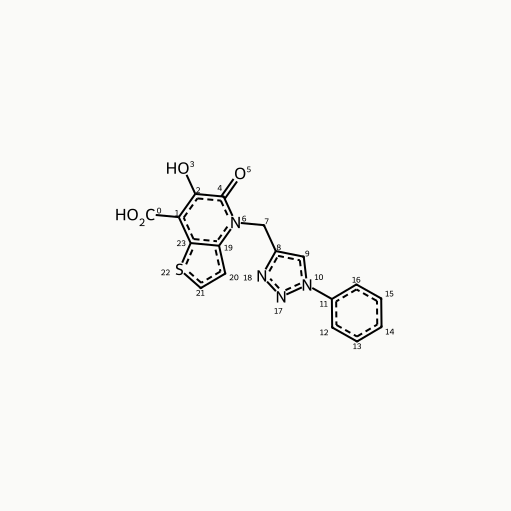 O=C(O)c1c(O)c(=O)n(Cc2cn(-c3ccccc3)nn2)c2ccsc12